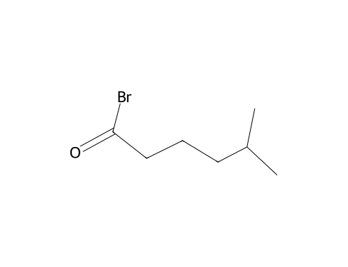 CC(C)CCCC(=O)Br